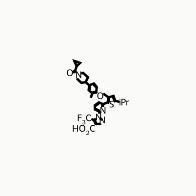 Cc1cc(C2CCN(C(=O)C3CC3)CC2)ccc1OCc1cc(C(C)C)sc1-c1cccc(-n2ncc(C(=O)O)c2C(F)(F)F)n1